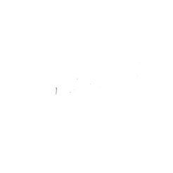 CC(C)CCCC[C@H]1CC[C@H]2[C@@H]3CC=C4C[C@@H](O)CC[C@]4(C)[C@H]3CC[C@]12C